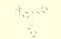 COc1cc(C(=O)N2C[C@H]3CC[C@@H]2[C@@H]3N)cc2nc(-c3cc4ccccc4n3C)n(CC3CN(C(=O)c4ccccc4)C3)c12